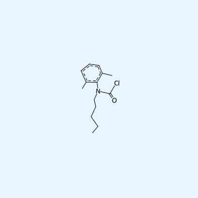 CCCCCN(C(=O)Cl)c1c(C)cccc1C